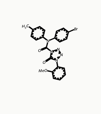 COc1ccccc1-n1nnn(C(=O)N(c2ccc(C)cc2)c2ccc(Br)cc2)c1=O